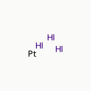 I.I.I.[Pt]